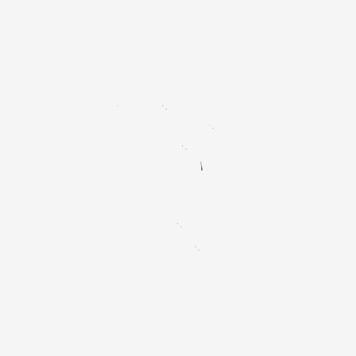 Cc1cc2cc(C(=O)N(Cc3ccc(Br)cn3)[C@H](C)c3ncccc3F)ccc2nc1N